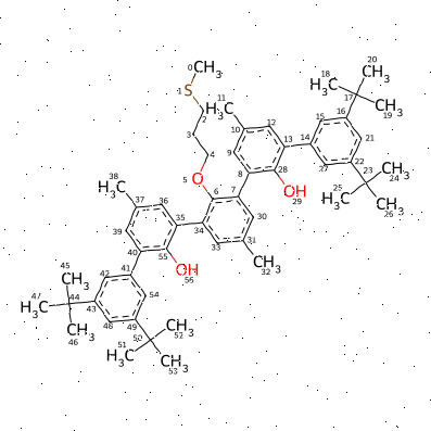 CSCCCOc1c(-c2cc(C)cc(-c3cc(C(C)(C)C)cc(C(C)(C)C)c3)c2O)cc(C)cc1-c1cc(C)cc(-c2cc(C(C)(C)C)cc(C(C)(C)C)c2)c1O